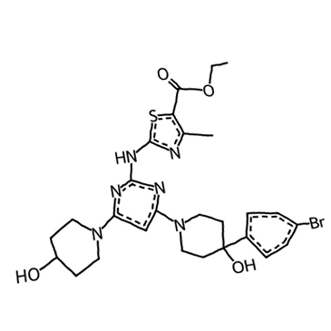 CCOC(=O)c1sc(Nc2nc(N3CCC(O)CC3)cc(N3CCC(O)(c4ccc(Br)cc4)CC3)n2)nc1C